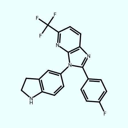 Fc1ccc(-c2nc3ccc(C(F)(F)F)nc3n2-c2ccc3c(c2)CCN3)cc1